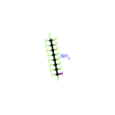 FC(F)(F)C(F)(F)C(F)(F)C(F)(F)C(F)(F)C(F)(F)C(F)(F)C(F)(F)I.N